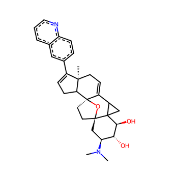 CN(C)[C@H]1C[C@@]23CC[C@@]4(O2)C(=CC[C@]2(C)C(c5ccc6ncccc6c5)=CCC24)C2CC23[C@@H](O)[C@@H]1O